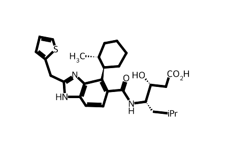 CC(C)C[C@H](NC(=O)c1ccc2[nH]c(Cc3cccs3)nc2c1[C@@H]1CCCC[C@H]1C)[C@H](O)CC(=O)O